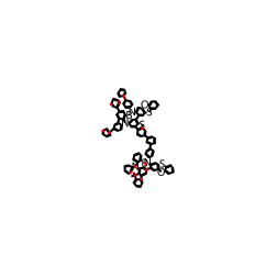 CC1(C)c2ccccc2-c2cc3c4c(c21)N(c1ccccc1)c1ccccc1B4N(c1ccc(-c2cccc(-c4ccc5c(c4)sc4c6c7c(cc45)-n4c5ccc(-c8ccccc8)cc5c5cc(-c8ccccc8)cc(c54)B7N(c4ccc(-c5ccccc5)cc4)c4cc5c(cc4-6)Sc4ccccc4O5)c2)cc1)c1cc2c(cc1-3)Oc1ccccc1S2